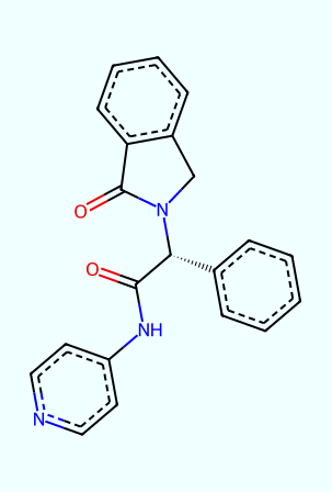 O=C(Nc1ccncc1)[C@@H](c1ccccc1)N1Cc2ccccc2C1=O